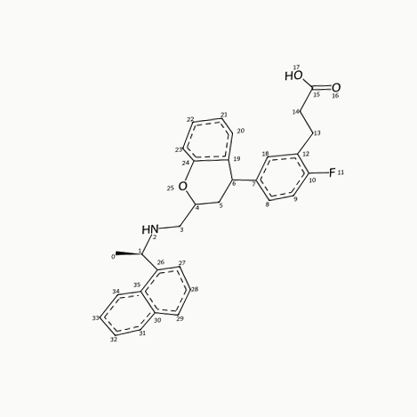 C[C@@H](NCC1CC(c2ccc(F)c(CCC(=O)O)c2)c2ccccc2O1)c1cccc2ccccc12